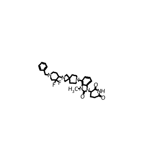 Cn1c(=O)n(C2CCC(=O)NC2=O)c2cccc(N3CCC4(CC3)CN(C3CCN(Cc5ccccc5)CC3(F)F)C4)c21